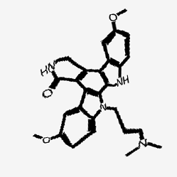 COc1ccc2[nH]c3c(c4c(c5c6cc(OC)ccc6n(CCCN(C)C)c35)C(=O)NC4)c2c1